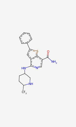 NC(=O)c1cnc(NC2CCC(C(F)(F)F)NC2)c2cc(-c3ccccc3)sc12